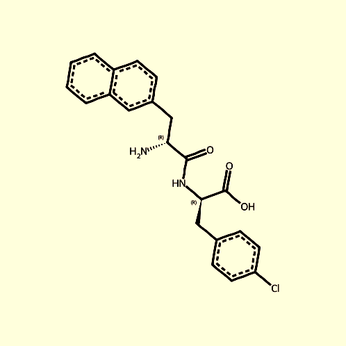 N[C@H](Cc1ccc2ccccc2c1)C(=O)N[C@H](Cc1ccc(Cl)cc1)C(=O)O